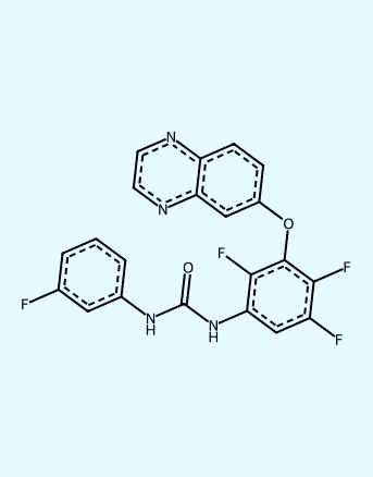 O=C(Nc1cccc(F)c1)Nc1cc(F)c(F)c(Oc2ccc3nccnc3c2)c1F